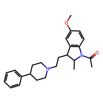 COc1ccc2c(c1)C(CCN1CCC(c3ccccc3)CC1)C(C)N2C(C)=O